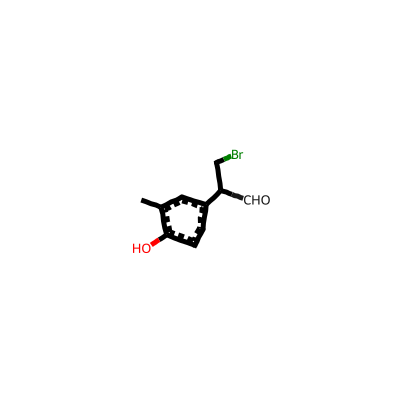 Cc1cc(C(C=O)CBr)ccc1O